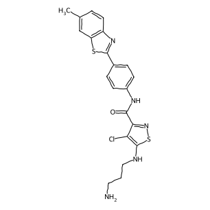 Cc1ccc2nc(-c3ccc(NC(=O)c4nsc(NCCCN)c4Cl)cc3)sc2c1